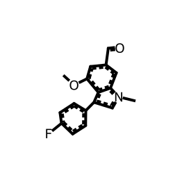 COc1cc(C=O)cc2c1c(-c1ccc(F)cc1)cn2C